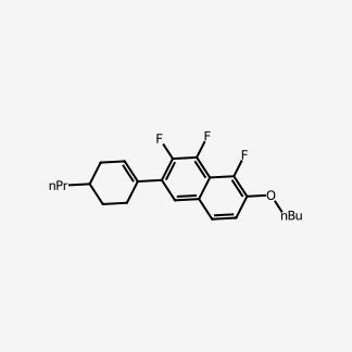 CCCCOc1ccc2cc(C3=CCC(CCC)CC3)c(F)c(F)c2c1F